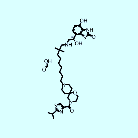 CC(C)c1nc(C(=O)N2CCOC3(CCN(CCCCCCCC(C)(C)CNC[C@H](O)c4ccc(O)c5[nH]c(=O)sc45)CC3)C2)cs1.O=CO